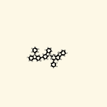 c1ccc(-c2nc(-n3c4ccccc4c4cc(-c5ccc6c7ccccc7n(-c7ccccc7)c6c5)ccc43)nc3c2ccc2c4ccccc4sc23)cc1